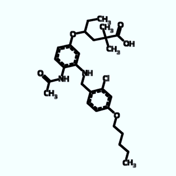 CCCCCOc1ccc(CNc2cc(OC(CC)CC(C)(C)C(=O)O)ccc2NC(C)=O)c(Cl)c1